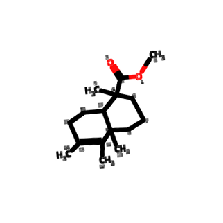 COC(=O)C1(C)CCCC2(C)C(C)=C(C)CCC12